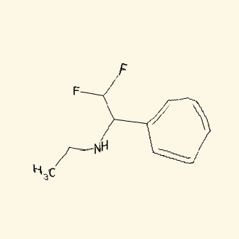 CCNC(c1ccccc1)C(F)F